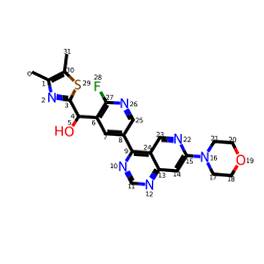 Cc1nc(C(O)c2cc(-c3ncnc4cc(N5CCOCC5)ncc34)cnc2F)sc1C